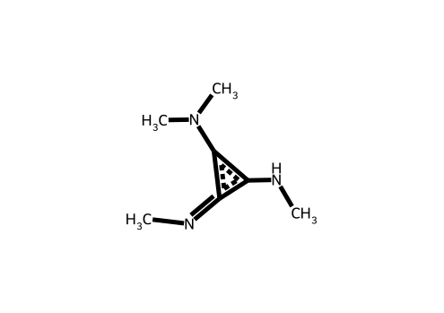 CN=c1c(NC)c1N(C)C